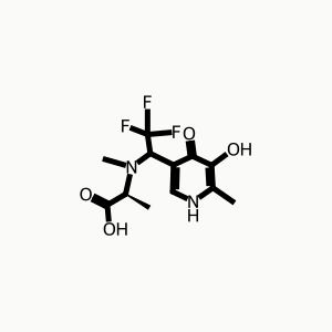 Cc1[nH]cc(C(N(C)[C@@H](C)C(=O)O)C(F)(F)F)c(=O)c1O